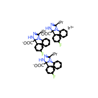 CC(C)C1=NNC(C(=O)[O-])(c2ccc(F)cc2)N1c1ccccc1.CC(C)C1=NNC(C(=O)[O-])(c2ccc(F)cc2)N1c1ccccc1.CC(C)C1=NNC(C(=O)[O-])(c2ccc(F)cc2)N1c1ccccc1.[Ir+3]